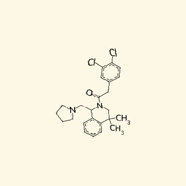 CC1(C)CN(C(=O)Cc2ccc(Cl)c(Cl)c2)C(CN2CCCC2)c2ccccc21